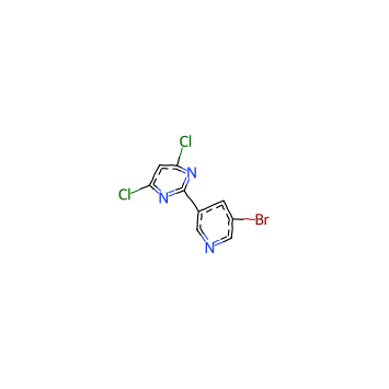 Clc1cc(Cl)nc(-c2cncc(Br)c2)n1